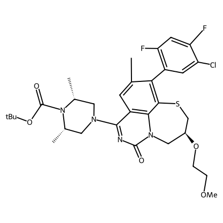 COCCO[C@@H]1CSc2c(-c3cc(Cl)c(F)cc3F)c(C)cc3c(N4C[C@@H](C)N(C(=O)OC(C)(C)C)[C@@H](C)C4)nc(=O)n(c23)C1